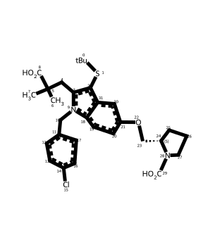 CC(C)(C)Sc1c(CC(C)(C)C(=O)O)n(Cc2ccc(Cl)cc2)c2ccc(OC[C@@H]3CCCN3C(=O)O)cc12